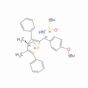 CC1=C(c2ccccc2)[P@]2C[C@@]1(C)C(c1ccccc1)=C2[C@H](N[S@@+]([O-])C(C)(C)C)c1ccc(OC(C)(C)C)cc1